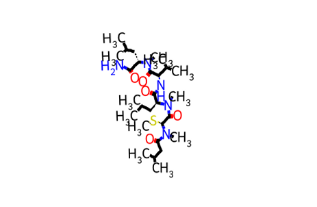 CS[C@H](C(=O)N(C)[C@@H](CC(C)C)C(=O)N[C@H](C(=O)N(C)[C@@H](CC(C)C)C(N)=O)C(C)C)N(C)C(=O)CC(C)C